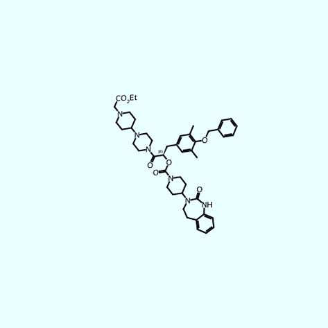 CCOC(=O)CN1CCC(N2CCN(C(=O)[C@@H](Cc3cc(C)c(OCc4ccccc4)c(C)c3)OC(=O)N3CCC(N4CCc5ccccc5NC4=O)CC3)CC2)CC1